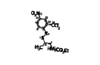 CCOC(=O)NCC(C)SSc1ccc([N+](=O)[O-])cc1C(Cl)(Cl)Cl